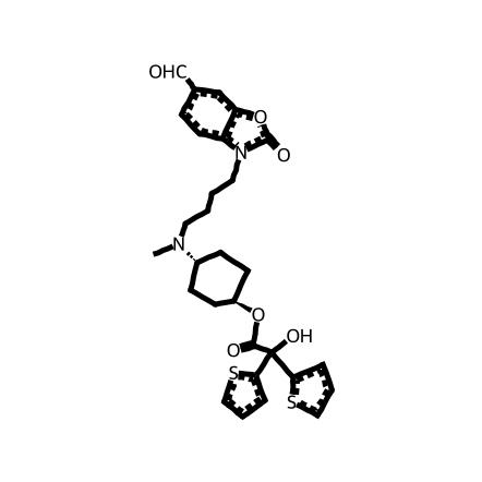 CN(CCCCn1c(=O)oc2cc(C=O)ccc21)[C@H]1CC[C@H](OC(=O)C(O)(c2cccs2)c2cccs2)CC1